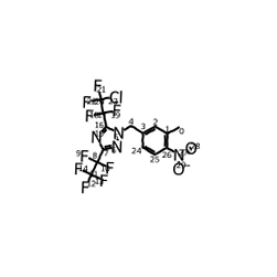 Cc1cc(Cn2nc(C(F)(F)C(F)(F)F)nc2C(F)(F)C(F)(F)Cl)ccc1[N+](=O)[O-]